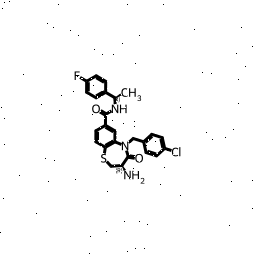 C[C@@H](NC(=O)c1ccc2c(c1)N(Cc1ccc(Cl)cc1)C(=O)[C@@H](N)CS2)c1ccc(F)cc1